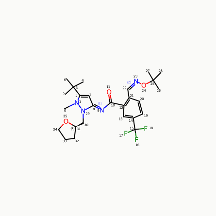 Cn1c(C(C)(C)C)c/c(=N\C(=O)c2cc(C(F)(F)F)ccc2/C=N\OC(C)(C)C)n1C[C@H]1CCCO1